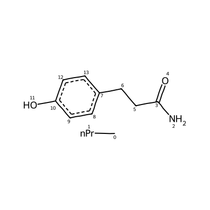 CCCC.NC(=O)CCc1ccc(O)cc1